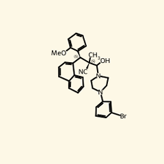 COc1ccccc1[C@H](c1cccc2ccccc12)[C@@](C)(C#N)C(O)N1CCN(c2cccc(Br)c2)CC1